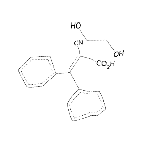 N#CC(C(=O)O)=C(c1ccccc1)c1ccccc1.OCCO